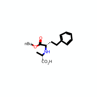 CCCCOC(=O)[C@H](CCc1ccccc1)N[C@@H](C)C(=O)O